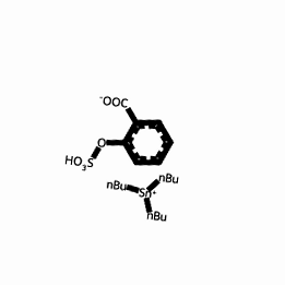 CCC[CH2][Sn+]([CH2]CCC)[CH2]CCC.O=C([O-])c1ccccc1OS(=O)(=O)O